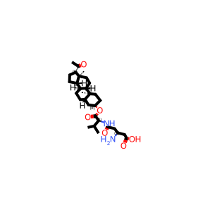 CC(=O)[C@H]1CC[C@H]2[C@@H]3CC[C@H]4C[C@H](OC(=O)[C@@H](NC(=O)C[C@H](N)CC(=O)O)C(C)C)CC[C@]4(C)[C@H]3CC[C@]12C